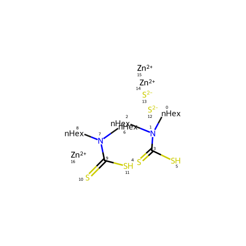 CCCCCCN(CCCCCC)C(=S)S.CCCCCCN(CCCCCC)C(=S)S.[S-2].[S-2].[Zn+2].[Zn+2].[Zn+2]